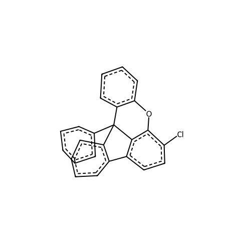 Clc1ccc2c3c1Oc1ccccc1C3(c1ccccc1)c1ccccc1-2